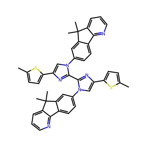 Cc1ccc(-c2cn(-c3ccc4c(c3)C(C)(C)c3cccnc3-4)c(-c3nc(-c4ccc(C)s4)cn3-c3ccc4c(c3)C(C)(C)c3cccnc3-4)n2)s1